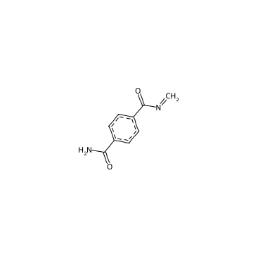 C=NC(=O)c1ccc(C(N)=O)cc1